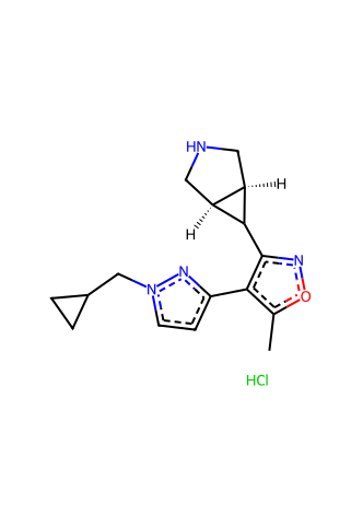 Cc1onc(C2[C@H]3CNC[C@@H]23)c1-c1ccn(CC2CC2)n1.Cl